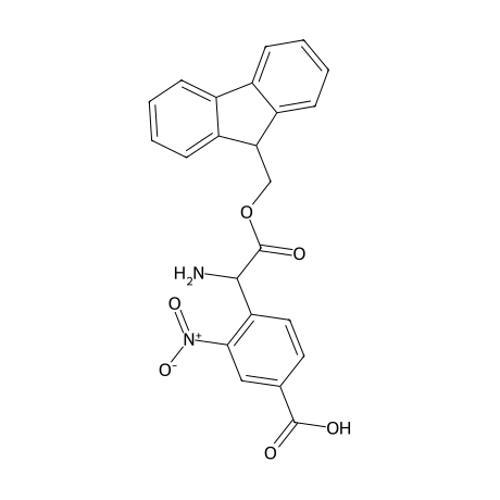 NC(C(=O)OCC1c2ccccc2-c2ccccc21)c1ccc(C(=O)O)cc1[N+](=O)[O-]